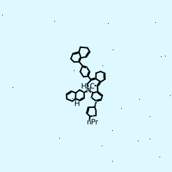 CCCC1C=CC(C2=CC=C3/C(C)=C4\C=CCC\C4=C(/C4=CC=C(C5=C6C=CCCC6=CCC5)CC4)CN(C4C=C[C@H]5CCC=CC5C4)C3C2)CC1